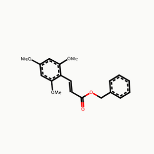 COc1cc(OC)c(C=CC(=O)OCc2ccccc2)c(OC)c1